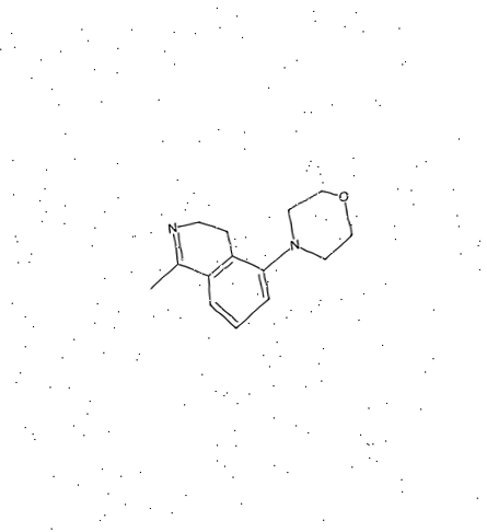 CC1=NCCc2c1cccc2N1CCOCC1